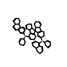 C1=CCC(N(C2=CC3=C(CC2)C2C=CCCC2C32C3=C(C(N(c4ccc5c(c4)C=CC4C=CCCC54)C4C=CCCC4)=CCC3)C3C=CCCC32)C2=C3C=CCCC3CC=C2)C=C1